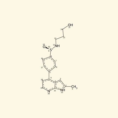 Cc1cc2c(-c3ccc([S@@+]([O-])NCCCO)cc3)ccnc2[nH]1